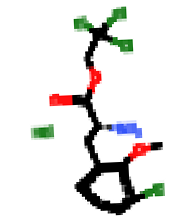 COc1c(Cl)cccc1C[C@@H](N)C(=O)OCC(Cl)(Cl)Cl.Cl